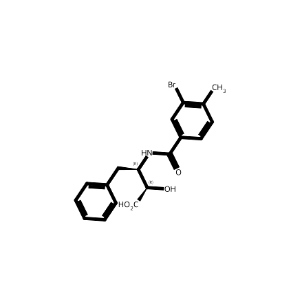 Cc1ccc(C(=O)N[C@H](Cc2ccccc2)[C@@H](O)C(=O)O)cc1Br